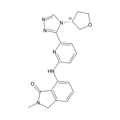 CN1Cc2cccc(Nc3cccc(-c4nncn4[C@@H]4CCOC4)n3)c2C1=O